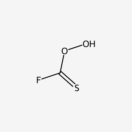 OOC(F)=S